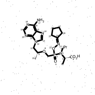 CC(C)N([C@@H](C)C(=O)O)P(=O)(CO[C@H](C)Cn1cnc2c(N)ncnc21)ON=C1CCCC1